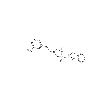 O[C@@]1(Cc2ccccc2)C[C@H]2CN(CSc3cccc(C(F)(F)F)c3)C[C@H]2C1